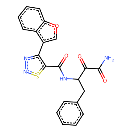 NC(=O)C(=O)C(Cc1ccccc1)NC(=O)c1snnc1-c1coc2ccccc12